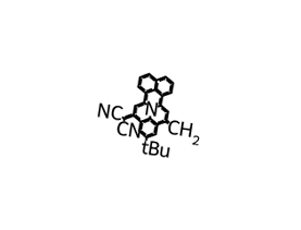 C=c1cc2c3cccc4cccc(c5cc(=C(C#N)C#N)c6cc(C(C)(C)C)cc1c6N25)c43